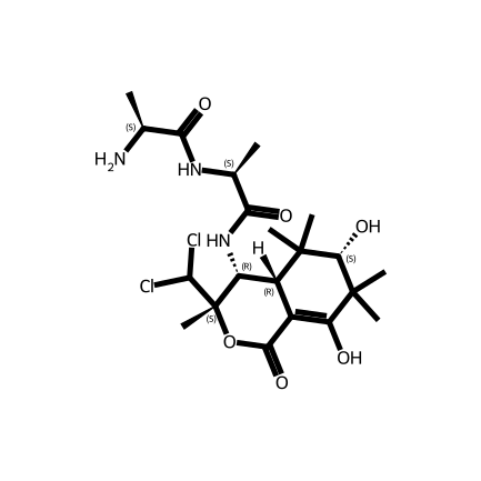 C[C@H](N)C(=O)N[C@@H](C)C(=O)N[C@@H]1[C@H]2C(=C(O)C(C)(C)[C@@H](O)C2(C)C)C(=O)O[C@]1(C)C(Cl)Cl